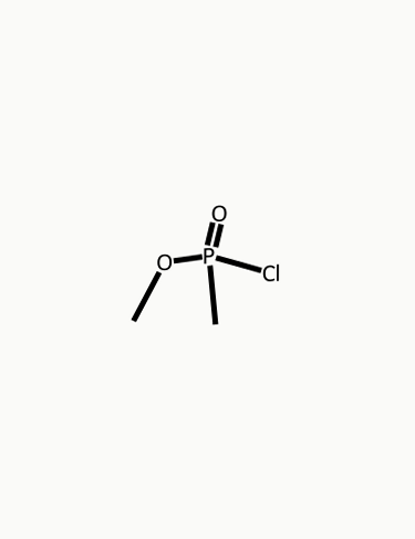 COP(C)(=O)Cl